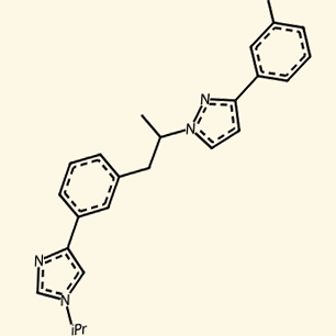 COc1cccc(-c2ccn(C(C)Cc3cccc(-c4cn(C(C)C)cn4)c3)n2)c1